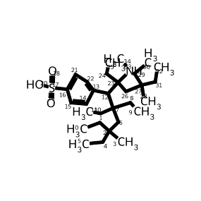 CCC(C)(CC)CC(CC)(CC)C(c1ccc(S(=O)(=O)O)cc1)C(CC)(CC(C)(CC)CC)NC